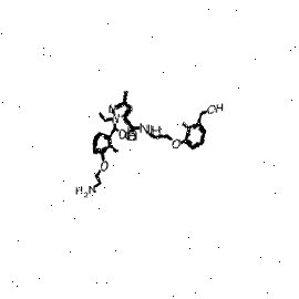 CC[N+]1(C(O)c2cccc(OCCN)c2C)N=C(C)C=C1C(=O)NCCOc1cccc(CO)c1C